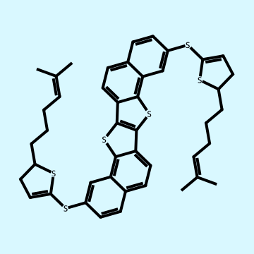 CC(C)=CCCCC1CC=C(Sc2ccc3ccc4c(sc5c6ccc7ccc(SC8=CCC(CCCC=C(C)C)S8)cc7c6sc45)c3c2)S1